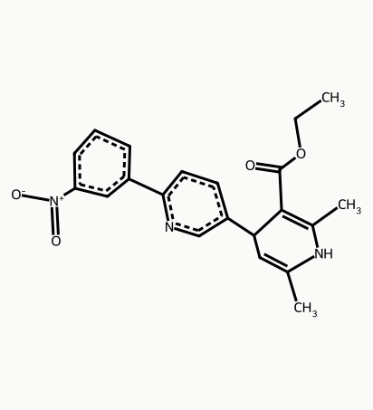 CCOC(=O)C1=C(C)NC(C)=CC1c1ccc(-c2cccc([N+](=O)[O-])c2)nc1